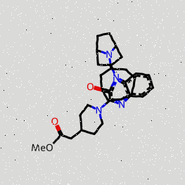 COC(=O)CC1CCN(c2nc3ccccc3n(C3CC4CCC(C3)N4C3CCCCCCC3)c2=O)CC1